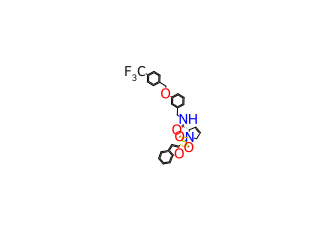 O=C(NCc1cccc(OCc2ccc(C(F)(F)F)cc2)c1)[C@@H]1C=CCN1S(=O)(=O)c1cc2ccccc2o1